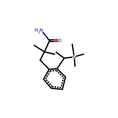 CC(c1ccccc1CC(C)(C)C(N)=O)[Si](C)(C)C